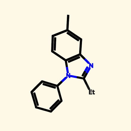 CCc1nc2cc(C)ccc2n1-c1ccccc1